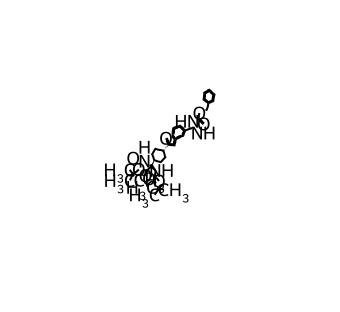 CC(C)(C)OC(=O)NC(NC=O)(C(=O)OC(C)(C)C)[C@H]1CC[C@H](c2cc3cc(C(=N)NC(=O)OCc4ccccc4)ccc3o2)CC1